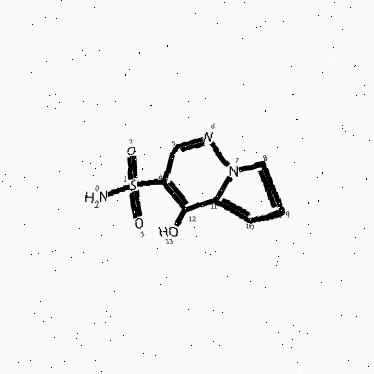 NS(=O)(=O)c1cnn2cccc2c1O